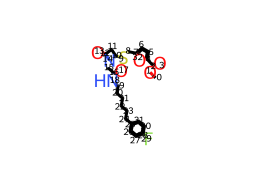 COC(=O)c1ccc(CSC2CC(=O)N2CC(=O)NCCCCCCc2ccc(F)cc2)o1